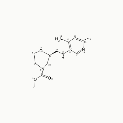 COC(=O)N1CCO[C@@H](CNc2cnc(C)cc2N)C1